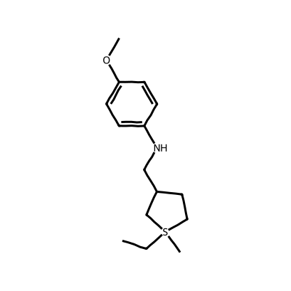 CCS1(C)CCC(CNc2ccc(OC)cc2)C1